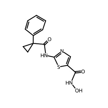 O=C(NO)c1cnc(NC(=O)C2(c3ccccc3)CC2)s1